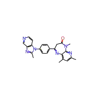 Cc1cc(C)c2c(n1)N(C)C(=O)CC(c1ccc(-n3c(C)nc4cnccc43)cc1)=N2